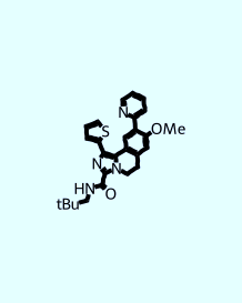 COc1cc2c(cc1-c1ccccn1)-c1c(-c3cccs3)nc(C(=O)NCC(C)(C)C)n1CC2